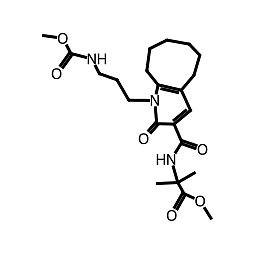 COC(=O)NCCCn1c2c(cc(C(=O)NC(C)(C)C(=O)OC)c1=O)CCCCCC2